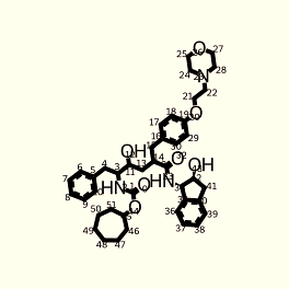 O=C(NC(Cc1ccccc1)C(O)CC(Cc1ccc(OCCN2CCOCC2)cc1)C(=O)N[C@H]1c2ccccc2C[C@@H]1O)OC1CCCCCC1